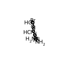 Cc1nc(N)nc(N)c1N1CCN(c2ccc(C=NOCc3ccc(Br)c(O)c3)cc2)CC1.Cl